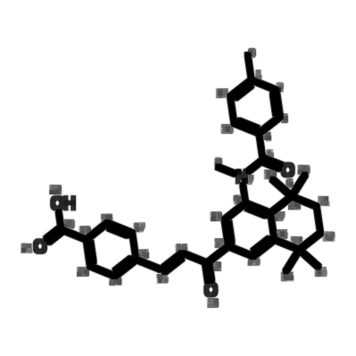 Cc1ccc(C(=O)N(C)c2cc(C(=O)C=Cc3ccc(C(=O)O)cc3)cc3c2C(C)(C)CCC3(C)C)cc1